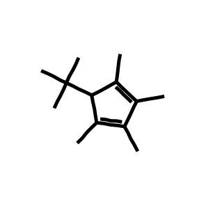 CC1=C(C)C(C(C)(C)C)C(C)=C1C